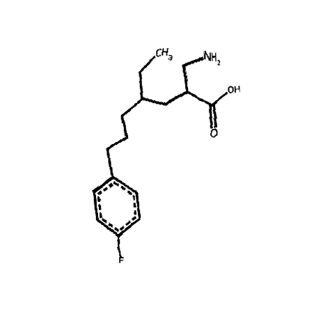 CCC(CCCc1ccc(F)cc1)CC(CN)C(=O)O